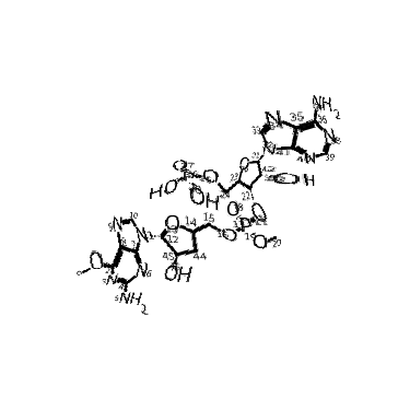 COc1nc(N)nc2c1ncn2[C@@H]1OC(COP(=O)(OC)O[C@@H]2C(COP(=O)(O)O)O[C@@H](n3cnc4c(N)ncnc43)[C@@H]2O)C[C@H]1O